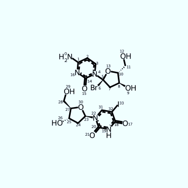 Nc1ccn([C@@]2(Br)C[C@H](O)[C@@H](CO)O2)c(=O)n1.O=c1[nH]c(=O)n([C@H]2C[C@H](O)[C@@H](CO)O2)cc1I